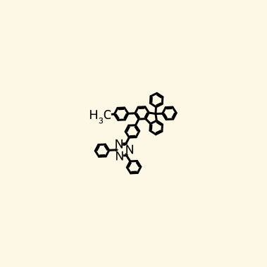 Cc1ccc(-c2ccc3c(c2-c2ccc(-c4nc(-c5ccccc5)nc(-c5ccccc5)n4)cc2)-c2ccccc2C3(c2ccccc2)c2ccccc2)cc1